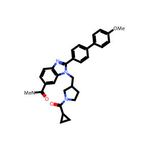 CNC(=O)c1ccc2nc(-c3ccc(-c4ccc(OC)cc4)cc3)n(CC3CCN(C(=O)C4CC4)C3)c2c1